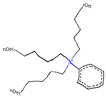 CCCCCCCCCCCCCC[N+](CCCCCCCCCCCCCC)(CCCCCCCCCCCCCC)c1ccccc1